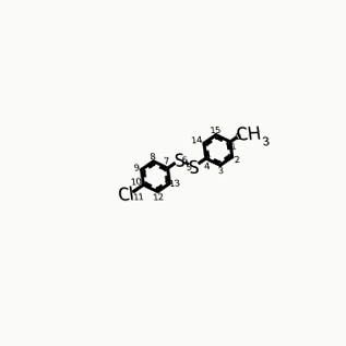 Cc1ccc(SSc2ccc(Cl)cc2)cc1